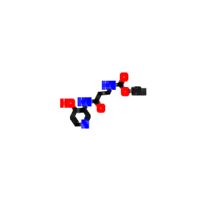 CC(C)(C)OC(=O)NCCC(=O)Nc1cnccc1O